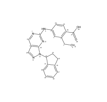 CCc1cc(Nc2ncc3cnn(C4CCc5ccccc54)c3n2)ccc1C(=O)O